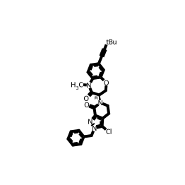 CN1C(=O)[C@H](N2CCc3c(nn(Cc4ccccc4)c3Cl)C2=O)COc2cc(C#CC(C)(C)C)ccc21